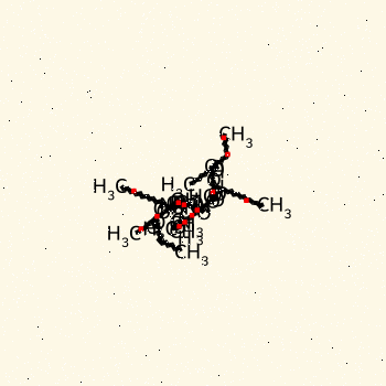 CCCCCC/C=C\CCCC(=O)O[C@H](CCCCCCC)CCOCC(COP(=O)(O)OCCNC(=O)C(CCCCNC(=O)OC(C)(C)C)C(=O)NCCOP(=O)(O)OCC(COCC[C@@H](CCCCCCC)OC(=O)CCC/C=C\CCCCCC)NC(=O)CCCCCCCCCCCCC)NC(=O)CCCCCCCCCCCCC